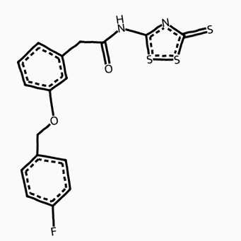 O=C(Cc1cccc(OCc2ccc(F)cc2)c1)Nc1nc(=S)ss1